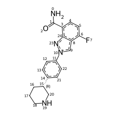 NC(=O)c1ccc(F)c2cn(-c3ccc([C@H]4CCCNC4)cc3)nc12